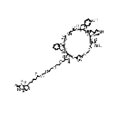 C[C@@H]1NC(=O)[C@H](Cc2ccccc2)NC(=O)[C@@H](NC(=O)COCCOCCOCCNC(=O)CCCC[C@H]2SC[C@H]3NC(=O)N[C@H]32)Cc2cn(nn2)CCCC[C@@H](C(N)=O)NC(=O)[C@H](Cc2c[nH]cn2)NC(=O)[C@H](Cc2ccc(O)cc2)NC(=O)CNC1=O